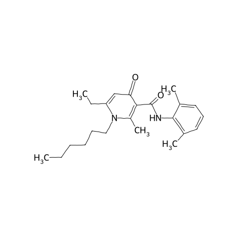 CCCCCCn1c(CC)cc(=O)c(C(=O)Nc2c(C)cccc2C)c1C